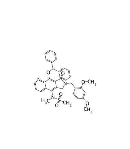 COc1ccc(CN2Cc3c(c(OC(c4ccccc4)c4ccccc4)c4ncccc4c3N(C)S(C)(=O)=O)C2=O)c(OC)c1